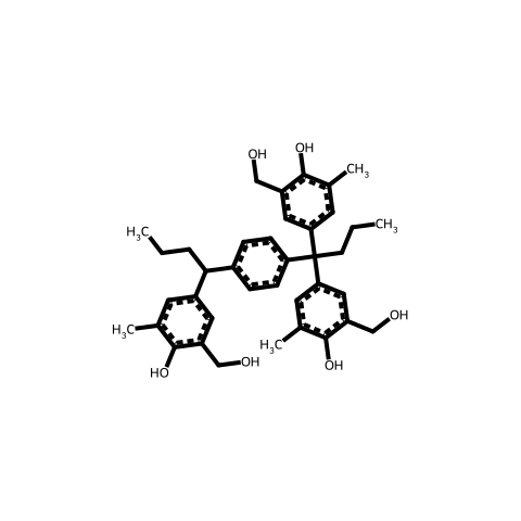 CCCC(c1ccc(C(CCC)(c2cc(C)c(O)c(CO)c2)c2cc(C)c(O)c(CO)c2)cc1)c1cc(C)c(O)c(CO)c1